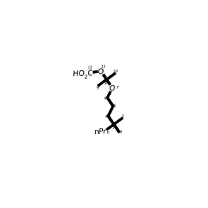 CCCC(C)(C)CCCOC(C)(C)OC(=O)O